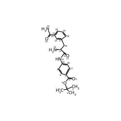 CC(C)(C)OC(=O)c1ccc(NC(=O)[C@@H](N)Cc2cccc(C(N)=O)c2)cc1